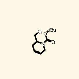 CC(C)(C)OC(=O)N1CC=CCC1CCl